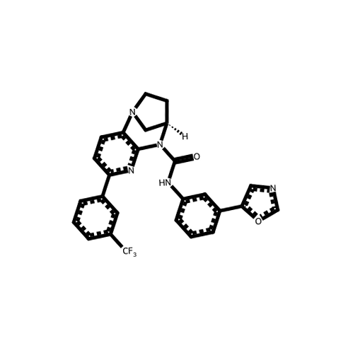 O=C(Nc1cccc(-c2cnco2)c1)N1c2nc(-c3cccc(C(F)(F)F)c3)ccc2N2CC[C@@H]1C2